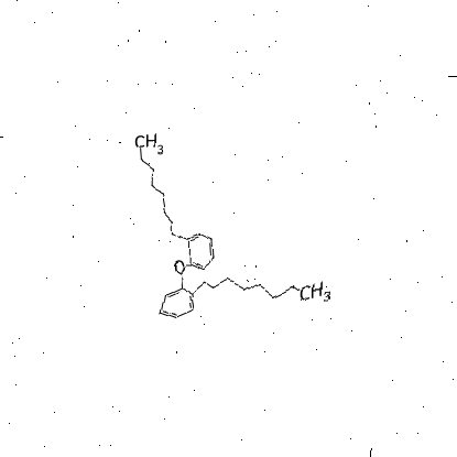 CCCCCCCCc1ccccc1Oc1ccccc1CCCCCCCC